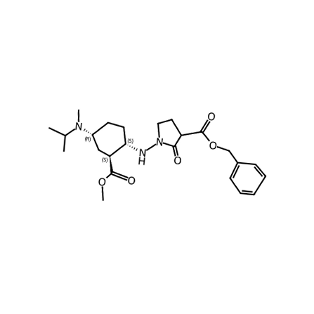 COC(=O)[C@H]1C[C@H](N(C)C(C)C)CC[C@@H]1NN1CCC(C(=O)OCc2ccccc2)C1=O